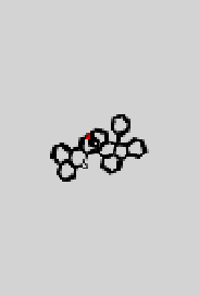 c1ccc(C2(c3ccccc3)c3ccccc3-c3cccc(-c4cccc5c4Sc4cccc6cccc-5c46)c32)cc1